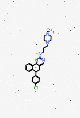 CN1CCN(CCCNc2ncc3c(n2)-c2ccccc2C(c2ccc(Cl)cc2)C3)CC1